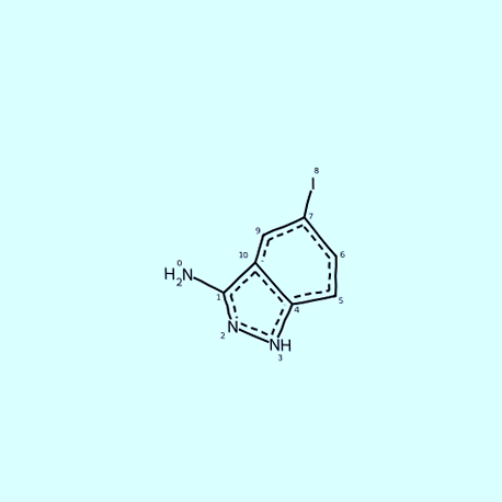 Nc1n[nH]c2ccc(I)cc12